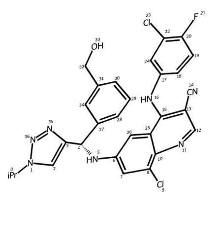 CC(C)n1cc([C@@H](Nc2cc(Cl)c3ncc(C#N)c(Nc4ccc(F)c(Cl)c4)c3c2)c2cccc(CO)c2)nn1